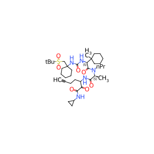 C#CCCC(NC(=O)[C@H](C)N(CCC)C(=O)[C@@H](NC(=O)NC1(CS(=O)(=O)C(C)(C)C)CCCCC1)C1(C)CCCCC1)C(=O)C(=O)NC1CC1